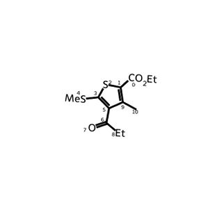 CCOC(=O)c1sc(SC)c(C(=O)CC)c1C